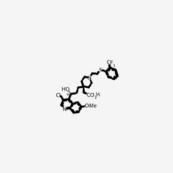 COc1ccc2ncc(Cl)c([C@H](O)CCC3(CC(=O)O)CCN(CCSc4ccccc4C(F)(F)F)CC3)c2c1